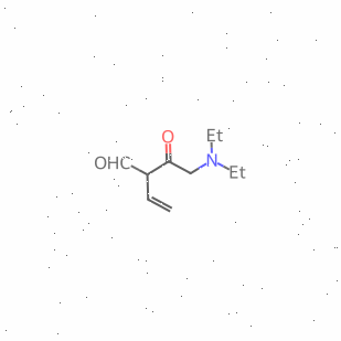 C=CC(C=O)C(=O)CN(CC)CC